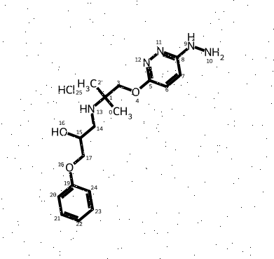 CC(C)(COc1ccc(NN)nn1)NCC(O)COc1ccccc1.Cl